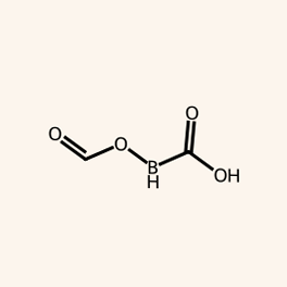 O=COBC(=O)O